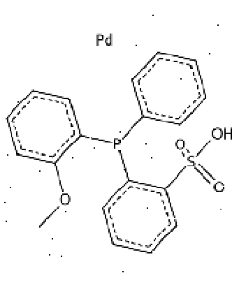 COc1ccccc1P(c1ccccc1)c1ccccc1S(=O)(=O)O.[Pd]